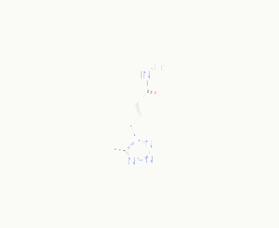 Cc1nnnn1C/C=C/C(=O)NC(C)C